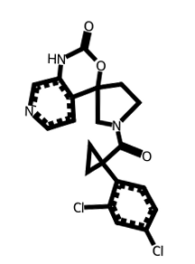 O=C1Nc2cnccc2C2(CCN(C(=O)C3(c4ccc(Cl)cc4Cl)CC3)C2)O1